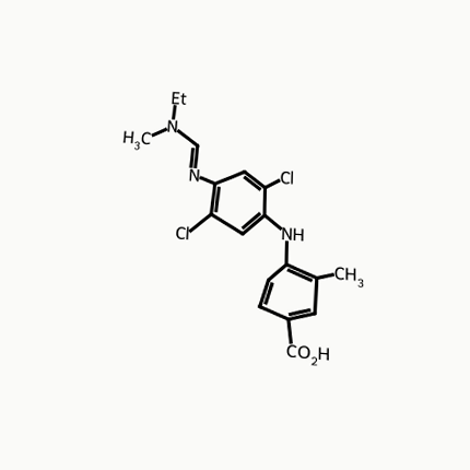 CCN(C)C=Nc1cc(Cl)c(Nc2ccc(C(=O)O)cc2C)cc1Cl